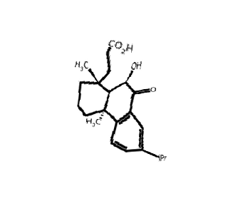 CC(C)c1ccc2c(c1)C(=O)[C@H](O)C1[C@@](C)(CC(=O)O)CCC[C@]21C